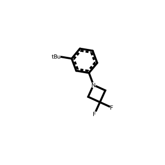 CC(C)(C)c1cccc(N2CC(F)(F)C2)c1